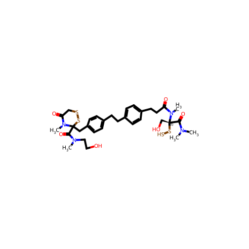 CN(C)C(=O)[C@](CO)(SS)N(C)C(=O)CCc1ccc(CCc2ccc(CC3(C(=O)N(C)CCO)SSCC(=O)N3C)cc2)cc1